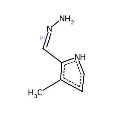 Cc1cc[nH]c1/C=N\N